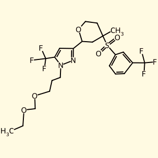 CCOCOCCCn1nc(C2CC(C)(S(=O)(=O)c3cccc(C(F)(F)F)c3)CCO2)cc1C(F)(F)F